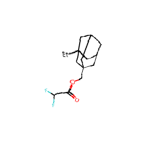 CCC12CC3CC(C1)CC(COC(=O)C(F)F)(C3)C2